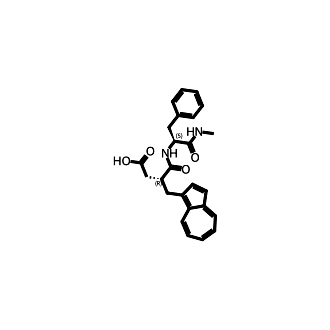 CNC(=O)[C@H](Cc1ccccc1)NC(=O)[C@@H](CC(=O)O)Cc1ccc2cccccc1-2